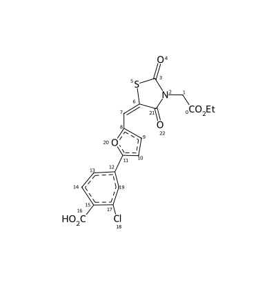 CCOC(=O)CN1C(=O)SC(=Cc2ccc(-c3ccc(C(=O)O)c(Cl)c3)o2)C1=O